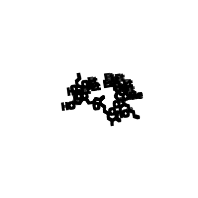 C=CCC1O[C@@H]2CC(OC3(CCC4CC(=C)C(CCC5CC(C)C(=C)C(CC6OC(CC(CO[Si](CC)(CC)CC)O[Si](CC)(CC)CC)[C@H](OC)C6C[C@@H](O)CC=C)O5)O4)C[C@@H](O)C2O3)C1O[Si](CC)(CC)CC